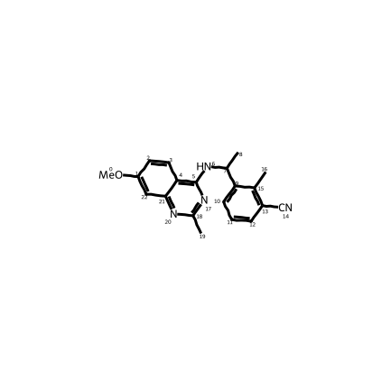 COc1ccc2c(NC(C)c3cccc(C#N)c3C)nc(C)nc2c1